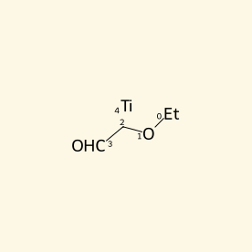 CCOCC=O.[Ti]